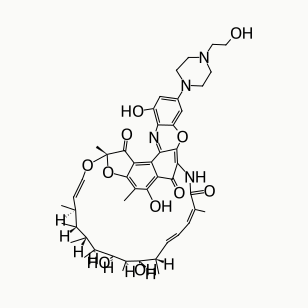 C/C1=C/C=C/[C@H](C)[C@H](O)[C@@H](C)[C@@H](O)[C@@H](C)[C@H](C)[C@H](C)[C@@H](C)/C=C/O[C@@]2(C)Oc3c(C)c(O)c4c(=O)c(c5oc6cc(N7CCN(CCO)CC7)cc(O)c6nc-5c4c3C2=O)NC1=O